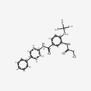 O=C(CCl)Nc1cc(C(=O)Nc2ncc(-c3ccccc3)nn2)ccc1OC(F)(F)F